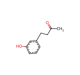 CC(=O)CCc1cccc(O)c1